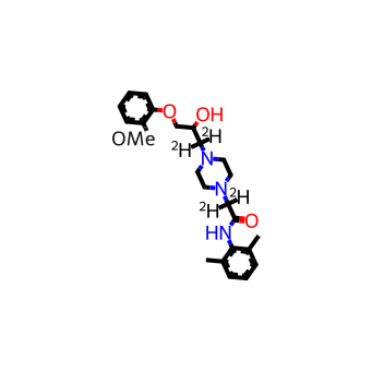 [2H]C([2H])(C(=O)Nc1c(C)cccc1C)N1CCN(C([2H])([2H])C(O)COc2ccccc2OC)CC1